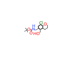 CC(C)(C)OC(=O)NCc1cc(Cl)c2c(c1CO)CCCO2